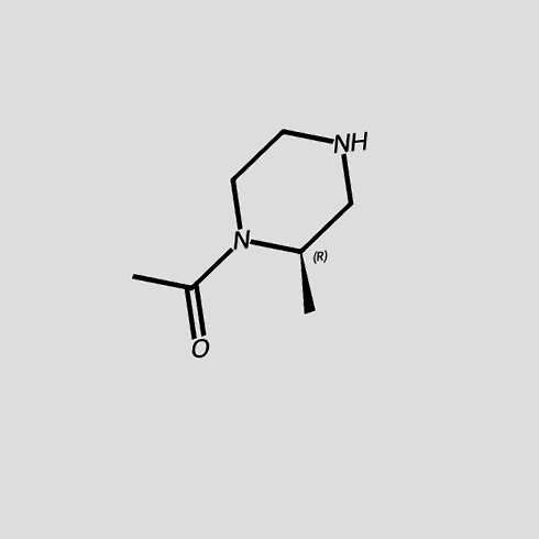 CC(=O)N1CCNC[C@H]1C